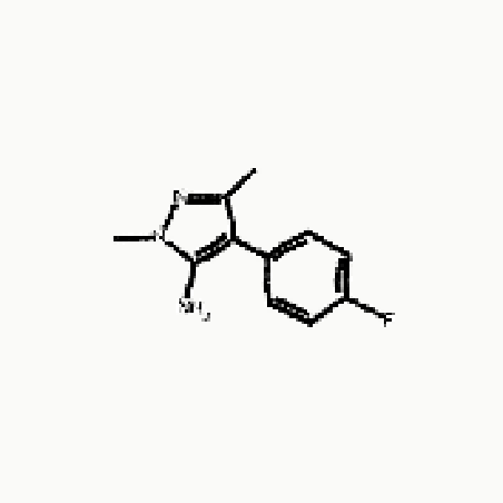 Cc1nn(C)c(N)c1-c1ccc(F)cc1